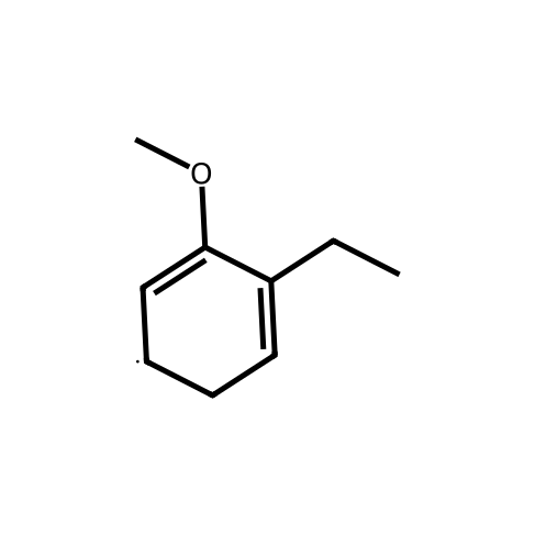 CCC1=CC[CH]C=C1OC